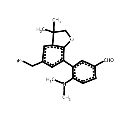 CC(C)Cc1cc(-c2cc(C=O)ccc2N(C)C)c2c(c1)C(C)(C)CO2